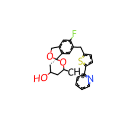 CC1CC(O)C[C@@]2(OCc3cc(F)c(Cc4ccc(-c5ccccn5)s4)cc32)O1